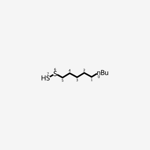 CCCCCCCCCSS